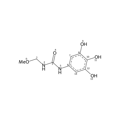 COCNC(=O)Nc1cc(O)c(O)c(O)c1